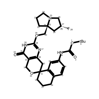 CC(C)(C)OC(=O)Nc1ccc2c(c1)C1(CCC2)Cc2nc(OC[C@@]34CCCN3C[C@H](F)C4)[nH]c(=O)c2CO1